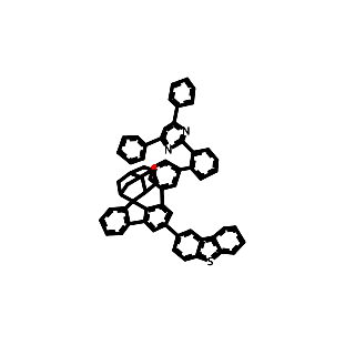 c1ccc(-c2cc(-c3ccccc3)nc(-c3ccccc3-c3cccc(-c4cc(-c5ccc6sc7ccccc7c6c5)cc5c4C4(c6ccccc6-5)C5CC6CC(C5)CC4C6)c3)n2)cc1